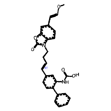 COC=Cc1ccc2c(c1)oc(=O)n2CC/C=C/c1ccc(-c2ccccc2)c(NC(=O)O)c1